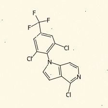 FC(F)(F)c1cc(Cl)c(-n2ccc3c(Cl)nccc32)c(Cl)c1